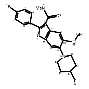 CNC(=O)c1c(-c2ccc(F)cc2)oc2cc(N3CCC(F)CC3)c(OC(C)C)cc12